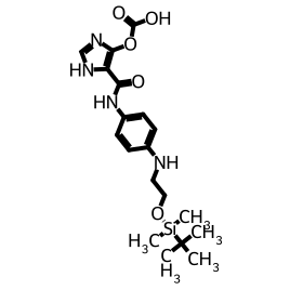 CC(C)(C)[Si](C)(C)OCCNc1ccc(NC(=O)c2[nH]cnc2OC(=O)O)cc1